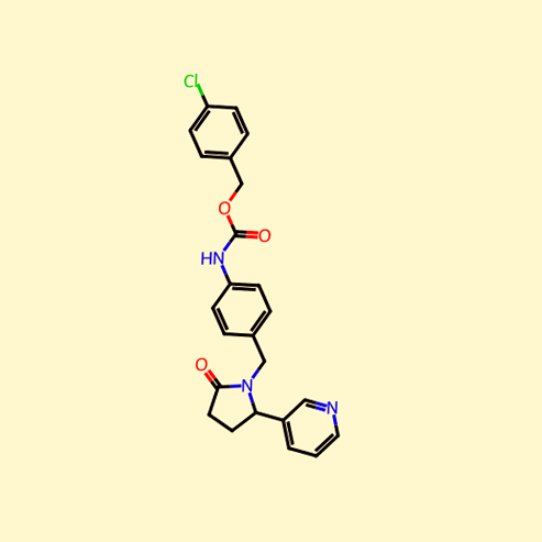 O=C(Nc1ccc(CN2C(=O)CCC2c2cccnc2)cc1)OCc1ccc(Cl)cc1